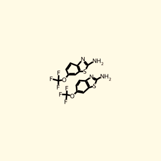 Nc1nc2ccc(OC(F)(F)F)cc2s1.Nc1nc2ccc(OC(F)(F)F)cc2s1